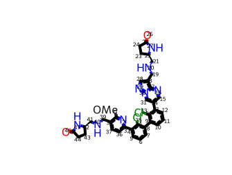 COc1nc(-c2cccc(-c3cccc(-c4cnc5c(CNC[C@H]6CCC(=O)N6)cnn5c4)c3Cl)c2Cl)ccc1CNC[C@H]1CCC(=O)N1